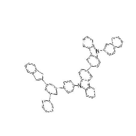 C1=C(c2cc(-c3ccccc3)cc(-c3ccc(-n4c5ccccc5c5cc(-c6ccc7c(c6)c6ccccc6n7-c6ccc7ccccc7c6)ccc54)cc3)c2)Cc2ccccc21